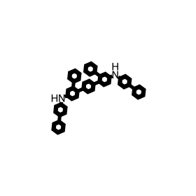 c1ccc(-c2ccc(Nc3ccc(-c4ccc(-c5ccc(Nc6ccc(-c7ccccc7)cc6)cc5-c5ccccc5)cc4)c(-c4ccccc4)c3)cc2)cc1